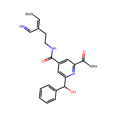 CN/C=C(\C=N)CCNC(=O)c1cc(C(=O)NC)nc(C(O)c2ccccc2)c1